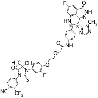 Cn1ncnc1[C@H]1c2n[nH]c(=O)c3cc(F)cc(c23)N[C@@H]1c1ccc(NC(=O)COCCOc2ccc(N3C(=S)N(c4ccc(C#N)c(C(F)(F)F)c4)C(=O)C3(C)C)cc2F)cc1